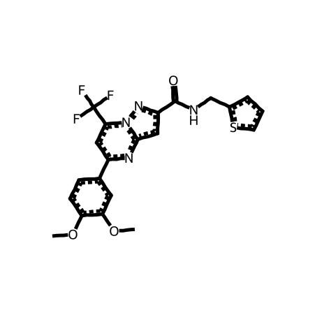 COc1ccc(-c2cc(C(F)(F)F)n3nc(C(=O)NCc4cccs4)cc3n2)cc1OC